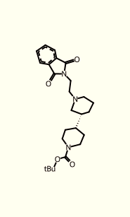 CC(C)(C)OC(=O)N1CCC([C@H]2CCCN(CCN3C(=O)c4ccccc4C3=O)C2)CC1